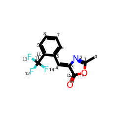 CC1=NC(=Cc2ccccc2C(F)(F)F)C(=O)O1